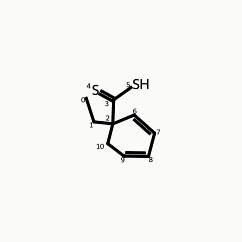 CCC1(C(=S)S)C=CC=CC1